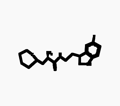 N[C@@H](CC1CCCCC1)C(=O)NCCC1CNc2ccc(F)cc21